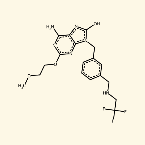 COCCOc1nc(N)c2nc(O)n(Cc3cccc(CNCC(F)(F)F)c3)c2n1